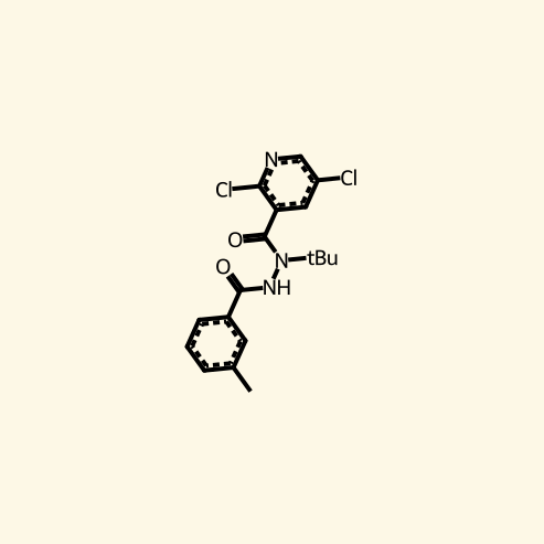 Cc1cccc(C(=O)NN(C(=O)c2cc(Cl)cnc2Cl)C(C)(C)C)c1